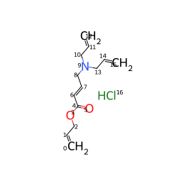 C=CCOC(=O)C=CCN(CC=C)CC=C.Cl